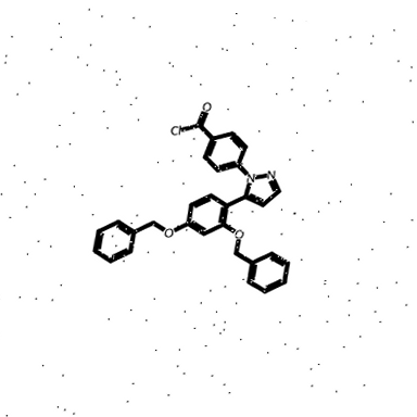 O=C(Cl)c1ccc(-n2nccc2-c2ccc(OCc3ccccc3)cc2OCc2ccccc2)cc1